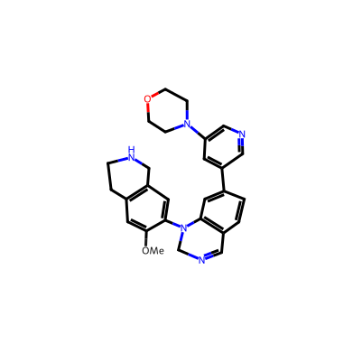 COc1cc2c(cc1N1CN=Cc3ccc(-c4cncc(N5CCOCC5)c4)cc31)CNCC2